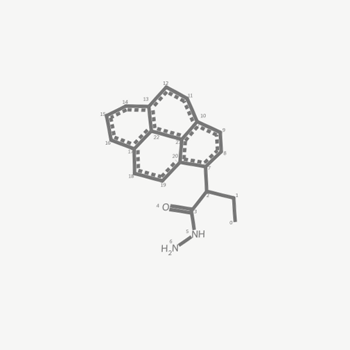 CCC(C(=O)NN)c1ccc2ccc3cccc4ccc1c2c34